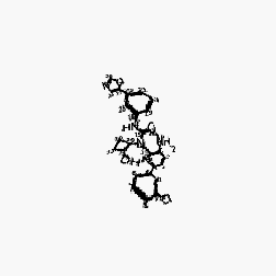 Nc1ccc(-c2cccc(Cl)c2)nc1N(C(=O)Nc1cccc(-c2cnco2)c1)C1CC[C@H]1O